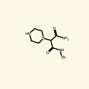 CC(C)NC(=O)C(C(N)=O)N1CCNCC1